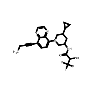 CCC#Cc1ccc(N2CC(NC(=O)C(N)C(F)(F)F)CC(C3CC3)C2)c2nccnc12